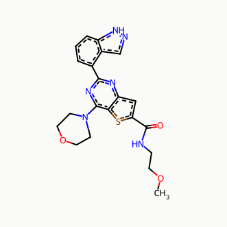 COCCNC(=O)c1cc2nc(-c3cccc4[nH]ncc34)nc(N3CCOCC3)c2s1